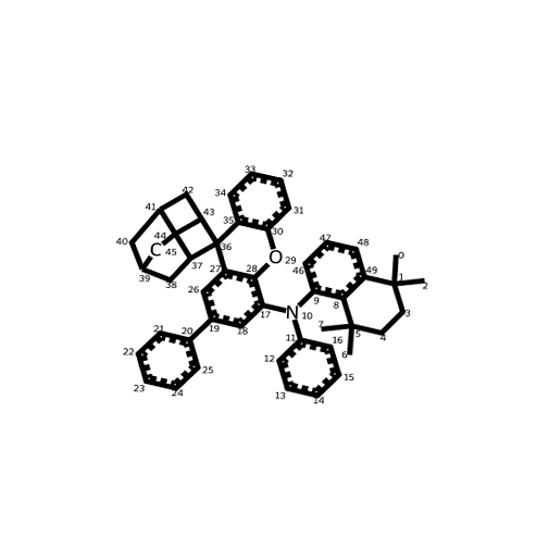 CC1(C)CCC(C)(C)c2c(N(c3ccccc3)c3cc(-c4ccccc4)cc4c3Oc3ccccc3C43C4CC5CC6CC3C64C5)cccc21